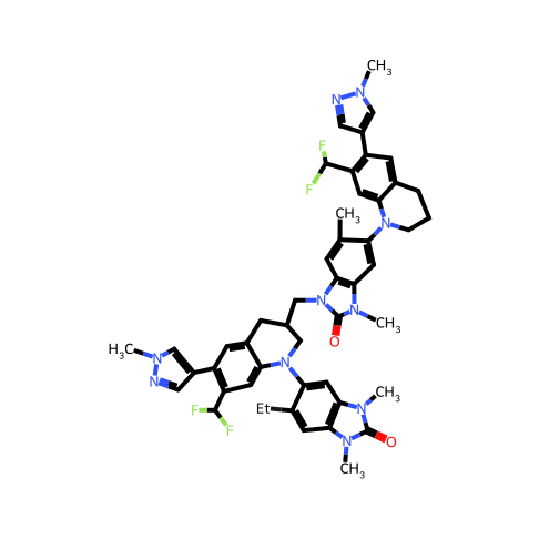 CCc1cc2c(cc1N1CC(Cn3c(=O)n(C)c4cc(N5CCCc6cc(-c7cnn(C)c7)c(C(F)F)cc65)c(C)cc43)Cc3cc(-c4cnn(C)c4)c(C(F)F)cc31)n(C)c(=O)n2C